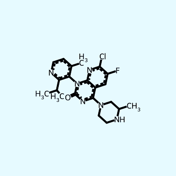 Cc1ccnc(C(C)C)c1-n1c(=O)nc(N2CCNC(C)C2)c2cc(F)c(Cl)nc21